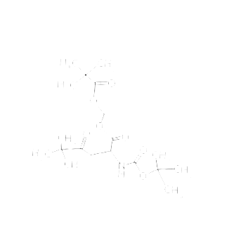 CC(C)(C)OC(=O)NC(CC(=O)C(C)(C)C)C(=O)OCOC(=O)C(C)(C)C